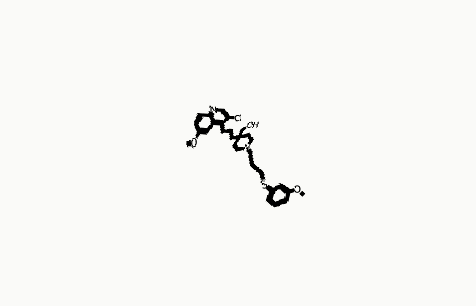 COc1cccc(SCCCN2CCC(CO)(CCCc3c(Cl)cnc4ccc(OC)cc34)CC2)c1